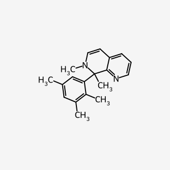 Cc1cc(C)c(C)c(C2(C)c3ncccc3C=CN2C)c1